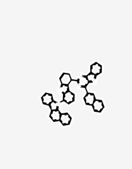 C1=Cc2oc3c(-n4c5ccccc5c5ccc6ccccc6c54)cccc3c2C(c2nc(-c3ccc4ccccc4c3)c3sc4ccccc4c3n2)C1